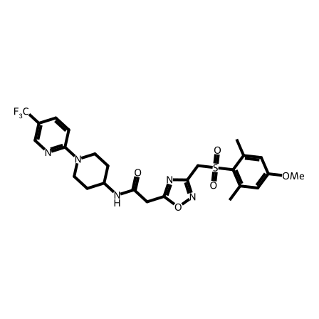 COc1cc(C)c(S(=O)(=O)Cc2noc(CC(=O)NC3CCN(c4ccc(C(F)(F)F)cn4)CC3)n2)c(C)c1